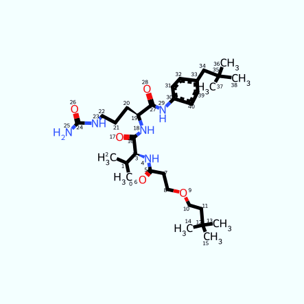 CC(C)[C@H](NC(=O)CCOCCC(C)(C)C)C(=O)N[C@@H](CCCNC(N)=O)C(=O)Nc1ccc(CC(C)(C)C)cc1